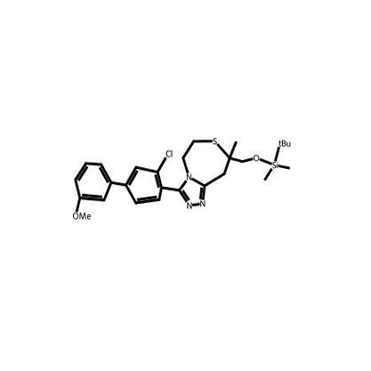 COc1cccc(-c2ccc(-c3nnc4n3CCSC(C)(CO[Si](C)(C)C(C)(C)C)C4)c(Cl)c2)c1